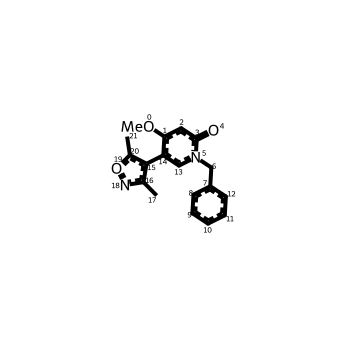 COc1cc(=O)n(Cc2ccccc2)cc1-c1c(C)noc1C